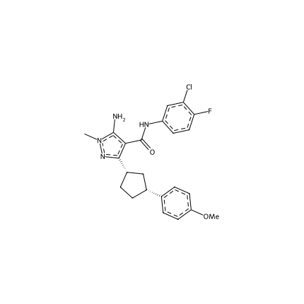 COc1ccc([C@@H]2CC[C@H](c3nn(C)c(N)c3C(=O)Nc3ccc(F)c(Cl)c3)C2)cc1